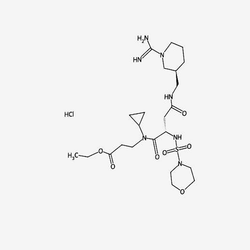 CCOC(=O)CCN(C(=O)[C@H](CC(=O)NC[C@@H]1CCCN(C(=N)N)C1)NS(=O)(=O)N1CCOCC1)C1CC1.Cl